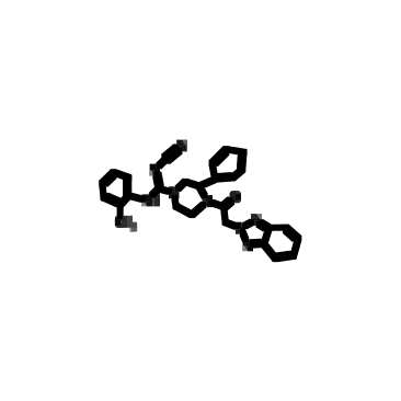 Cc1ccccc1N/C(=N/C#N)N1CCN(C(=O)Cn2nc3ccccc3n2)C(c2ccccc2)C1